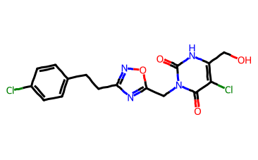 O=c1[nH]c(CO)c(Cl)c(=O)n1Cc1nc(CCc2ccc(Cl)cc2)no1